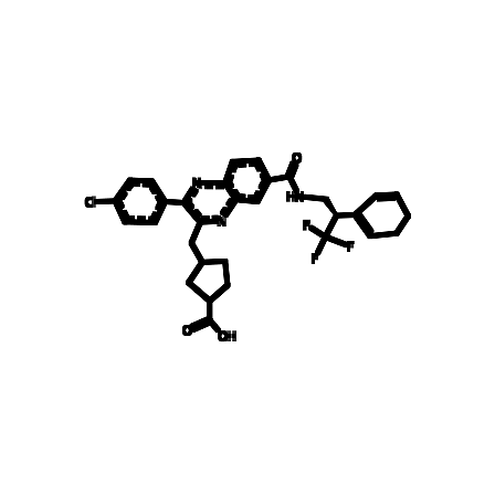 O=C(NC[C@@H](C1=CCCC=C1)C(F)(F)F)c1ccc2nc(-c3ccc(Cl)cc3)c(CC3CCC(C(=O)O)C3)nc2c1